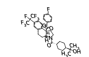 CC(C)(O)[C@H]1CC[C@H](C(=O)N2CC[C@@]3(S(=O)(=O)c4ccc(F)cc4)c4ccc(C(F)(C(F)(F)F)C(F)(F)F)cc4CC[C@@H]23)CC1